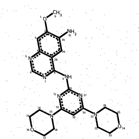 COc1cc2ncnc(Nc3nc(N4CCOCC4)cc(N4CCOCC4)n3)c2cc1N